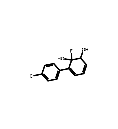 OC1C=CC=C(c2ccc(Cl)cc2)C1(O)F